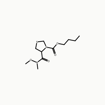 CCCCOC(=O)N1CSCC1C(=O)N(C)OC